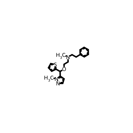 CN(CCOC(c1cccs1)c1ccnn1C)CCc1ccccc1